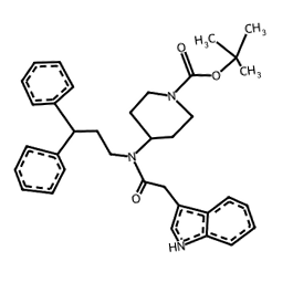 CC(C)(C)OC(=O)N1CCC(N(CCC(c2ccccc2)c2ccccc2)C(=O)Cc2c[nH]c3ccccc23)CC1